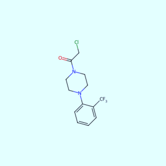 O=C(CCl)N1CCN(c2ccccc2C(F)(F)F)CC1